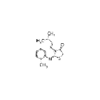 Cc1ccccc1/N=C1/SCC(=O)N1/N=C/C(C)C